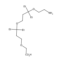 CCC(CC)(CCOCC(=O)O)OCCC(CC)(CC)OCCN